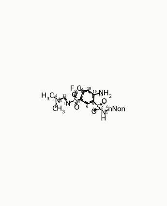 CCCCCCCCCNS(=O)(=O)c1cc(S(=O)(=O)/N=C/N(C)C)c(C(F)(F)F)cc1N